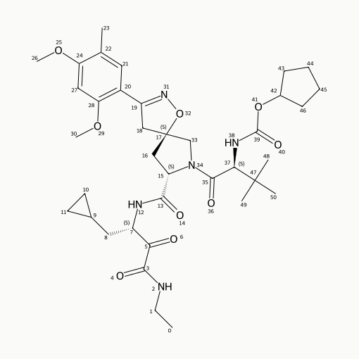 CCNC(=O)C(=O)[C@H](CC1CC1)NC(=O)[C@@H]1C[C@]2(CC(c3cc(C)c(OC)cc3OC)=NO2)CN1C(=O)[C@@H](NC(=O)OC1CCCC1)C(C)(C)C